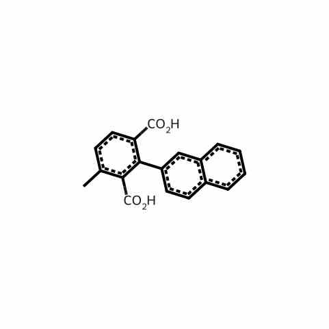 Cc1ccc(C(=O)O)c(-c2ccc3ccccc3c2)c1C(=O)O